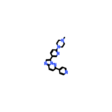 CN1CCN(c2ccc(-c3cnc4ccc(-c5ccncc5)nn34)cn2)CC1